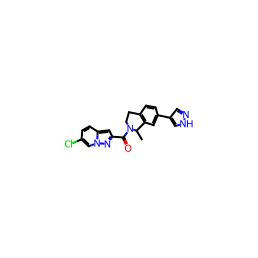 CC1c2cc(-c3cn[nH]c3)ccc2CCN1C(=O)c1cc2ccc(Cl)cn2n1